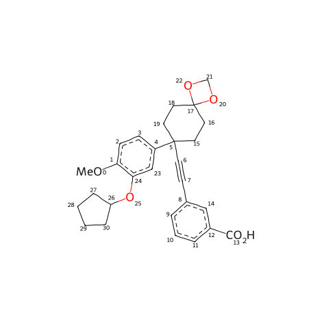 COc1ccc(C2(C#Cc3cccc(C(=O)O)c3)CCC3(CC2)OCO3)cc1OC1CCCC1